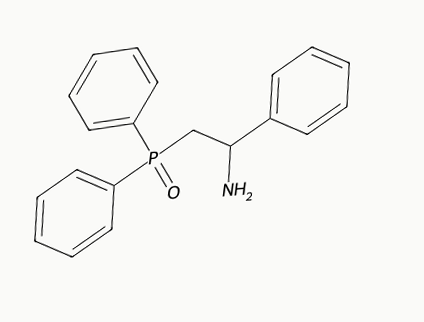 NC(CP(=O)(c1ccccc1)c1ccccc1)c1ccccc1